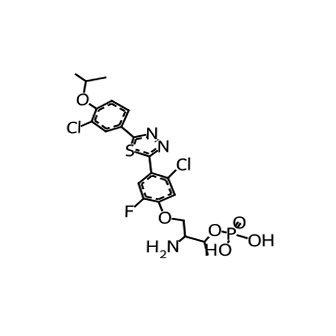 CC(C)Oc1ccc(-c2nnc(-c3cc(F)c(OCC(N)C(C)OP(=O)(O)O)cc3Cl)s2)cc1Cl